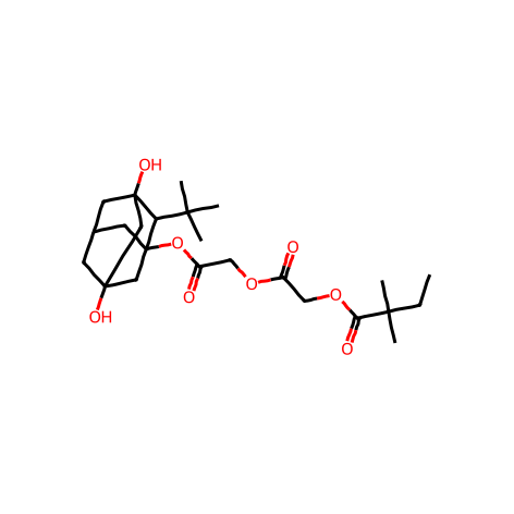 CCC(C)(C)C(=O)OCC(=O)OCC(=O)OC12CC3CC(O)(CC(O)(C3)C1C(C)(C)C)C2